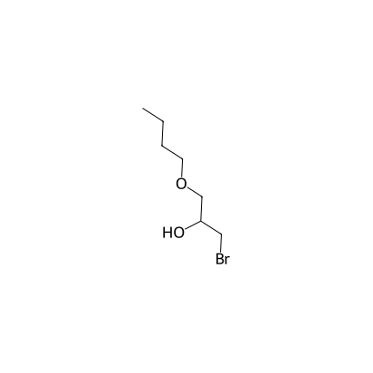 CCCCOCC(O)CBr